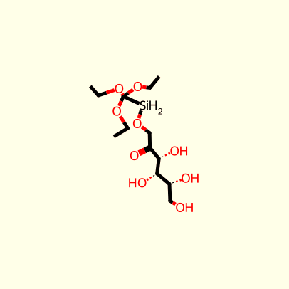 CCOC(OCC)(OCC)[SiH2]OCC(=O)[C@H](O)[C@@H](O)[C@H](O)CO